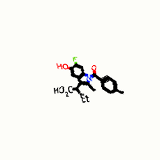 CCC(C(=O)O)c1c(C)n(C(=O)c2ccc(C)cc2)c2cc(F)c(O)cc12